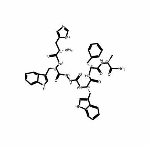 C[C@H](NC(=O)[C@@H](Cc1ccccc1)NC(=O)[C@H](Cc1c[nH]c2ccccc12)NC(=O)NNC(=O)[C@@H](Cc1c[nH]c2ccccc12)NC(=O)[C@@H](N)Cc1cnc[nH]1)C(N)=O